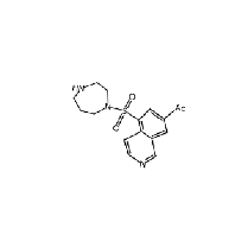 CC(=O)c1cc(S(=O)(=O)N2CCCNCC2)c2ccncc2c1